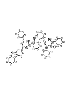 c1ccc(-c2nc(-c3ccc4c(c3)sc3ccccc34)nc(-c3cccc4c3sc3cccc(-c5nc(-c6ccccc6)c6oc7ccccc7c6n5)c34)n2)cc1